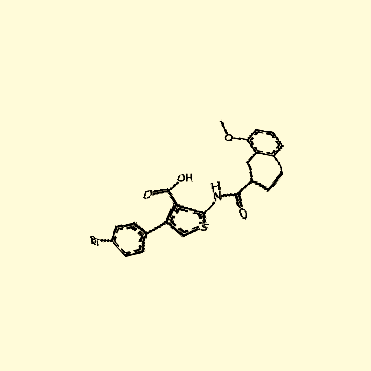 COc1cccc2c1CC(C(=O)Nc1scc(-c3ccc(Br)cc3)c1C(=O)O)CC2